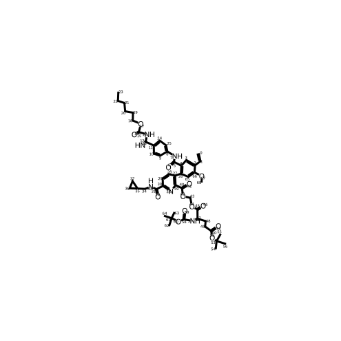 C=Cc1cc(C(=O)Nc2ccc(C(=N)NC(=O)OCCCCCC)cc2)c(-c2ccc(C(=O)NCC3CC3)nc2C(=O)OCOC(=O)C(CCC(=O)OC(C)(C)C)NC(=O)OC(C)(C)C)cc1OC